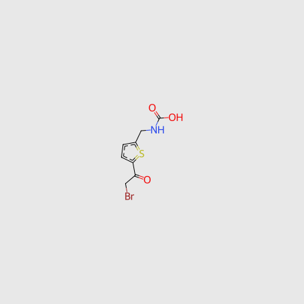 O=C(O)NCc1ccc(C(=O)CBr)s1